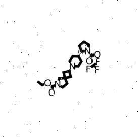 CCOC(=O)N1CCC2(CC(N3CCC([C@@H]4CCCN4C(=O)OC(F)(F)F)CC3)C2)C1